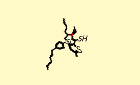 CC=CC1=C(S)c2sc(C)cc2[Si]1(CC(CC)CCCC)c1ccc(CCCCCC)cc1